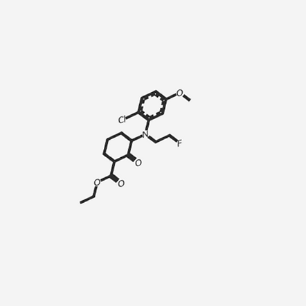 CCOC(=O)C1CCCC(N(CCF)c2cc(OC)ccc2Cl)C1=O